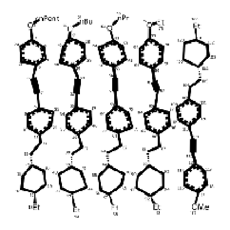 CCCCCOc1ccc(C#Cc2ccc(CC[C@H]3CC[C@H](CC)CC3)cc2)cc1.CCCCOc1ccc(C#Cc2ccc(CC[C@H]3CC[C@H](CC)CC3)cc2)cc1.CCCOc1ccc(C#Cc2ccc(CC[C@H]3CC[C@H](CC)CC3)cc2)cc1.CCOc1ccc(C#Cc2ccc(CC[C@H]3CC[C@H](CC)CC3)cc2)cc1.CC[C@H]1CC[C@H](CCc2ccc(C#Cc3ccc(OC)cc3)cc2)CC1